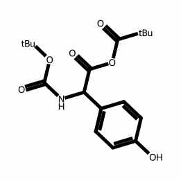 CC(C)(C)OC(=O)NC(C(=O)OC(=O)C(C)(C)C)c1ccc(O)cc1